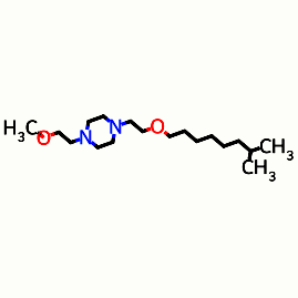 COCCN1CCN(CCOCCCCCCC(C)C)CC1